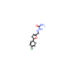 NC(=O)N/N=C/C1=CCC(C2C=CC(Cl)=CC2)O1